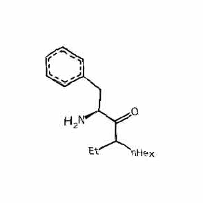 CCCCCCC(CC)C(=O)[C@@H](N)Cc1ccccc1